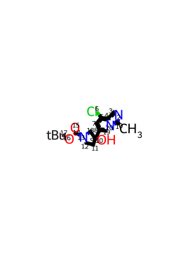 Cc1ncc2c(Cl)cc(C3(O)CCN(C(=O)OC(C)(C)C)C3)cn12